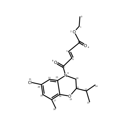 CCOC(=O)C=CC(=O)N1CC(C(C)C)Oc2c(C)cc(Cl)cc21